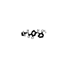 Cc1ccccc1Nc1ccc(C(=O)Nc2nccs2)c(Cl)c1